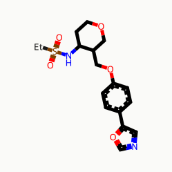 CCS(=O)(=O)NC1CCOCC1COc1ccc(-c2cnco2)cc1